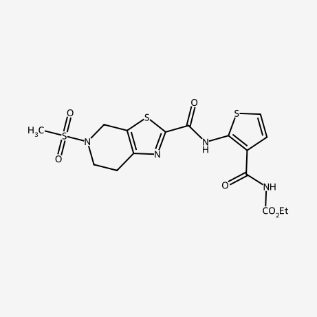 CCOC(=O)NC(=O)c1ccsc1NC(=O)c1nc2c(s1)CN(S(C)(=O)=O)CC2